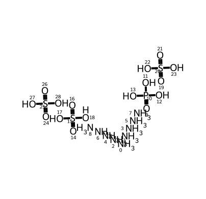 N.N.N.N.N.N.N.N.N.O=P(O)(O)O.O=S(=O)(O)O.O=S(=O)(O)O.O=S(=O)(O)O